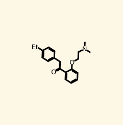 CCc1ccc(CC(=O)c2ccccc2OCCN(C)C)cc1